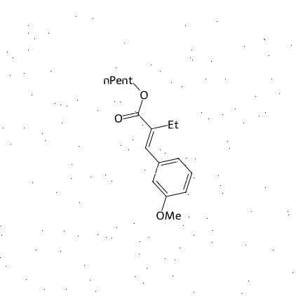 CCCCCOC(=O)/C(=C/c1cccc(OC)c1)CC